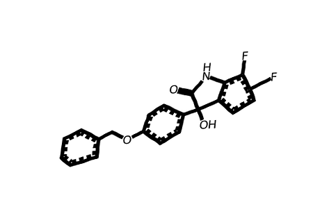 O=C1Nc2c(ccc(F)c2F)C1(O)c1ccc(OCc2ccccc2)cc1